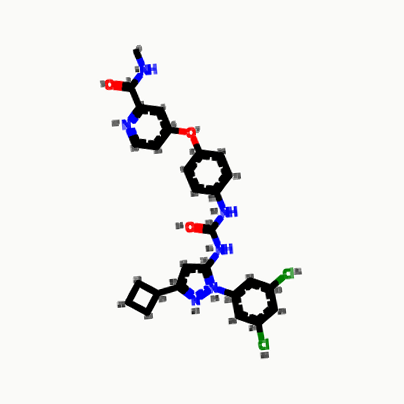 CNC(=O)c1cc(Oc2ccc(NC(=O)Nc3cc(C4CCC4)nn3-c3cc(Cl)cc(Cl)c3)cc2)ccn1